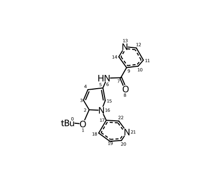 CC(C)(C)OC1C=CC(NC(=O)c2cccnc2)=CN1c1cccnc1